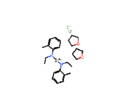 C1CCOC1.C1CCOC1.CC[N]([Zr+2][N](CC)c1ccccc1C)c1ccccc1C.[Cl-].[Cl-]